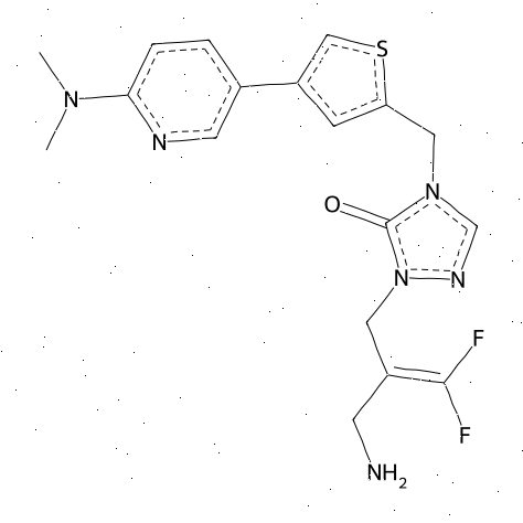 CN(C)c1ccc(-c2csc(Cn3cnn(CC(CN)=C(F)F)c3=O)c2)cn1